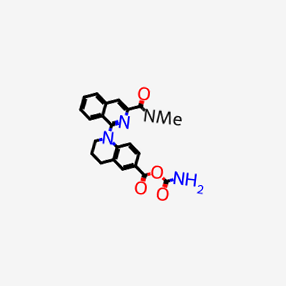 CNC(=O)c1cc2ccccc2c(N2CCCc3cc(C(=O)OC(N)=O)ccc32)n1